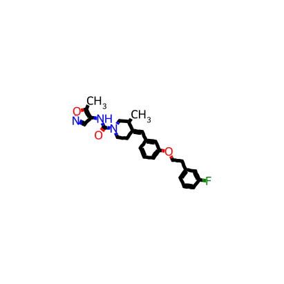 Cc1oncc1NC(=O)N1CCC(=Cc2cccc(OCCc3cccc(F)c3)c2)C(C)C1